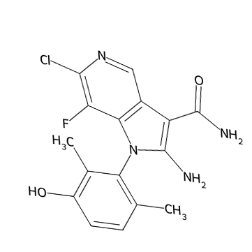 Cc1ccc(O)c(C)c1-n1c(N)c(C(N)=O)c2cnc(Cl)c(F)c21